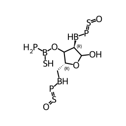 O=S=PBC[C@H]1OC(O)[C@H](BP=S=O)C1OB(P)S